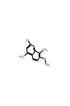 COc1ccc2c(C)cc(Cl)nc2c1C